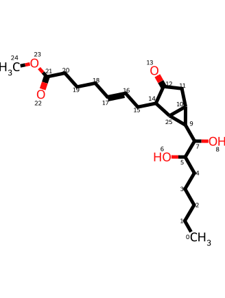 CCCCCC(O)C(O)C1C2CC(=O)C(CC=CCCCC(=O)OC)C21